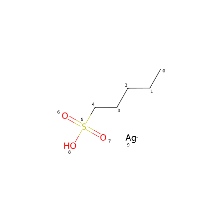 CCCCCS(=O)(=O)O.[Ag]